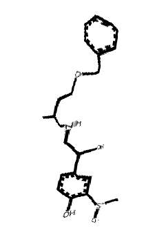 CC(CCOCc1ccccc1)NCC(O)c1ccc(O)c([S+](C)[O-])c1